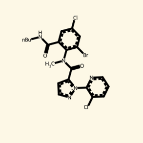 CCCCNC(=O)c1cc(Cl)cc(Br)c1N(C)C(=O)c1ccnn1-c1ncccc1Cl